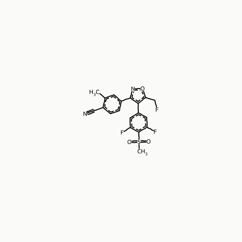 Cc1cc(-c2noc(CF)c2-c2cc(F)c(S(C)(=O)=O)c(F)c2)ccc1C#N